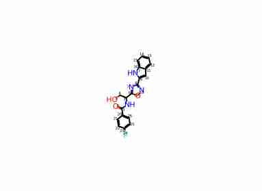 O=C(NC(CO)c1nc(-c2cc3ccccc3[nH]2)no1)c1ccc(F)cc1